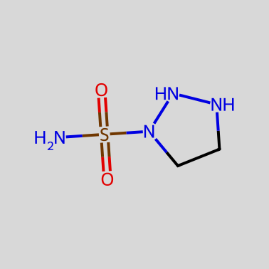 NS(=O)(=O)N1CCNN1